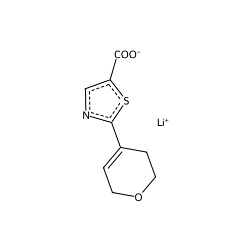 O=C([O-])c1cnc(C2=CCOCC2)s1.[Li+]